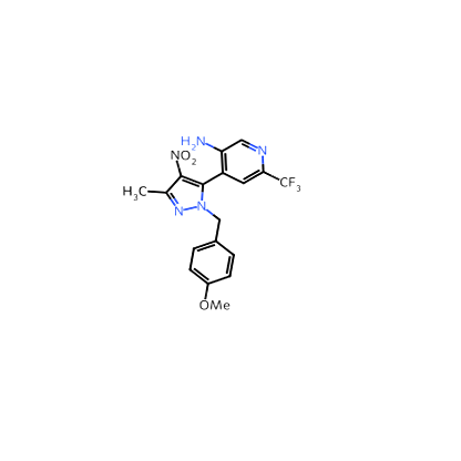 COc1ccc(Cn2nc(C)c([N+](=O)[O-])c2-c2cc(C(F)(F)F)ncc2N)cc1